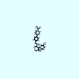 CCc1nc2ncc(Cl)cn2c1C(=O)NCc1ccc(N2CCN(C(C)=O)C=N2)cc1